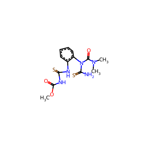 COC(=O)NC(=S)Nc1ccccc1N(C(=O)N(C)C)C(N)=S